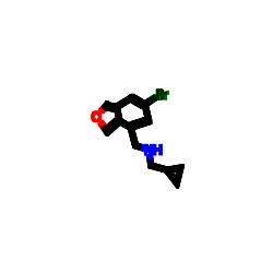 Brc1cc(CNCC2CC2)c2co[c]c2c1